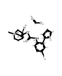 C[N+]12CCC(CC1)[C@@H](OC(=O)Nc1ccc(F)cc1-c1cccs1)C2.O=C[O-]